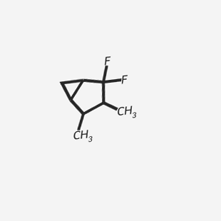 CC1C2CC2C(F)(F)C1C